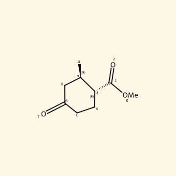 COC(=O)[C@@H]1CCC(=O)C[C@H]1C